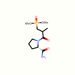 COP(=O)(CC(C)C(=O)N1CCC[C@H]1C(N)=O)OC